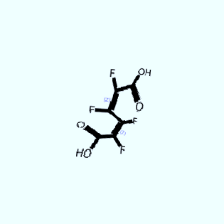 O=C(O)/C(F)=C(F)\C(F)=C(\F)C(=O)O